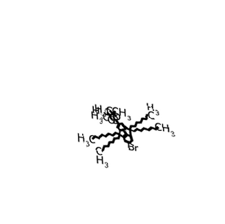 CCCCCCCCC1(CCCCCCCC)c2cc(Br)cc3c2-c2c1cc(B1OC(C)(C)C(C)(C)O1)cc2C3(CCCCCCCC)CCCCCCCC